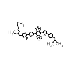 CCCCCC(CC)Cc1ccc(-c2ccc(-c3c4c(c(-c5ccc(-c6ccc(CC(CC)CC)cc6)s5)c5nonc35)N=S=N4)cc2)c(F)c1